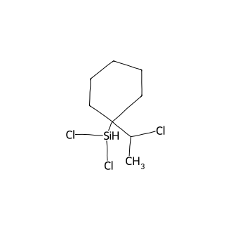 CC(Cl)C1([SiH](Cl)Cl)CCCCC1